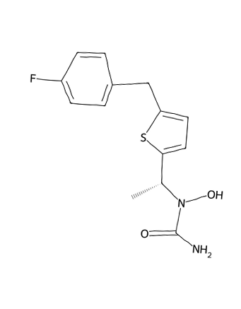 C[C@H](c1ccc(Cc2ccc(F)cc2)s1)N(O)C(N)=O